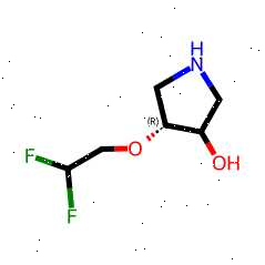 OC1CNC[C@H]1OCC(F)F